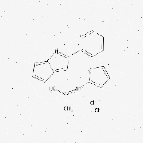 C1=CC2=CC(c3ccccc3)=NC2=C1.C[C](C)=[Zr+2][C]1=CC=CC1.[Cl-].[Cl-]